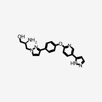 N[C@H](CO)Cn1ccc(-c2ccc(Oc3ccc(-c4ccn[nH]4)cn3)cc2)n1